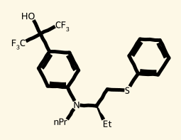 CCCN(c1ccc(C(O)(C(F)(F)F)C(F)(F)F)cc1)[C@H](CC)CSc1ccccc1